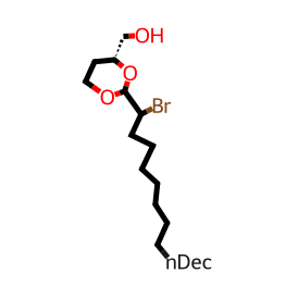 CCCCCCCCCCCCCCCCCC(Br)C1OCC[C@H](CO)O1